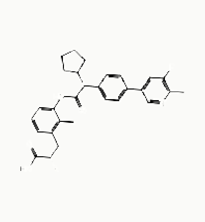 Cc1ncc(-c2ccc([C@@H](C(=O)Nc3cccc(C[C@H](C)C(=O)O)c3C)C3CCCC3)cc2)cc1F